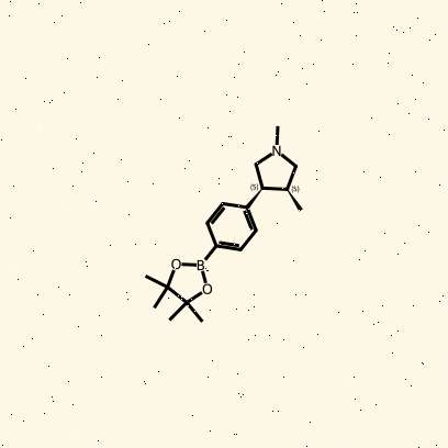 C[C@@H]1CN(C)C[C@@H]1c1ccc(B2OC(C)(C)C(C)(C)O2)cc1